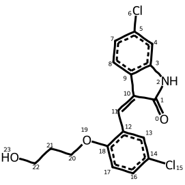 O=C1Nc2cc(Cl)ccc2C1=Cc1cc(Cl)ccc1OCCCO